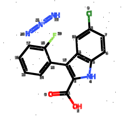 O=C(O)c1[nH]c2ccc(Cl)cc2c1-c1ccccc1F.[N-]=[N+]=N